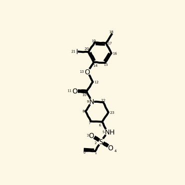 C=CS(=O)(=O)NC1CCN(C(=O)COc2ccc(C)cc2I)CC1